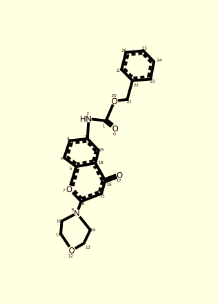 O=C(Nc1ccc2oc(N3CCOCC3)cc(=O)c2c1)OCc1ccccc1